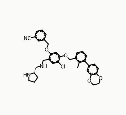 Cc1c(COc2cc(OCc3cccc(C#N)c3)c(CNC[C@@H]3CCCN3)cc2Cl)cccc1-c1ccc2c(c1)OCCO2